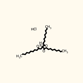 CCCCCCCCCC(=O)CC(P)(C(=O)CCCCCCCCC)C(=O)CCCCCCCCC.Cl